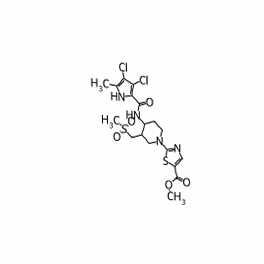 COC(=O)c1cnc(N2CCC(NC(=O)c3[nH]c(C)c(Cl)c3Cl)C(CS(C)(=O)=O)C2)s1